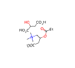 CCC(=O)OC(CC(=O)[O-])C[N+](C)(C)C.O=C(O)CC(O)C(=O)O